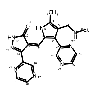 CCNCc1c(C)[nH]c(C=C2C(=O)NN=C2c2cnccn2)c1-c1cnccn1